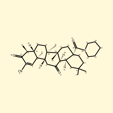 [C-]#[N+]C1=C[C@]2(C)[C@H]3CC(=O)[C@@H]4[C@@H]5CC(C)(C)CC[C@]5(C(=O)N5CCCCC5)CC[C@@]4(C)[C@]3(C)CC[C@H]2[C@H](C)C1=O